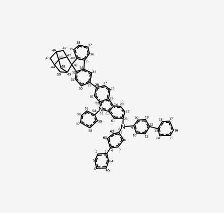 c1ccc(-c2ccc(N(c3ccc(-c4ccccc4)cc3)c3ccc4c5ccc(-c6ccc7c(c6)-c6ccccc6C76C7CC8CC(C7)CC6C8)cc5n(-c5ccccc5)c4c3)cc2)cc1